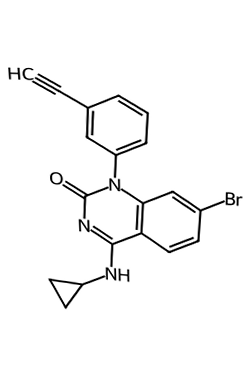 C#Cc1cccc(-n2c(=O)nc(NC3CC3)c3ccc(Br)cc32)c1